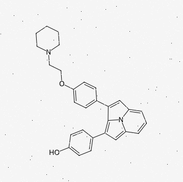 Oc1ccc(-c2cc3cccc4cc(-c5ccc(OCCN6CCCCC6)cc5)c2n34)cc1